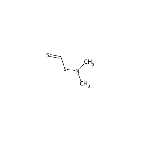 CN(C)SC=S